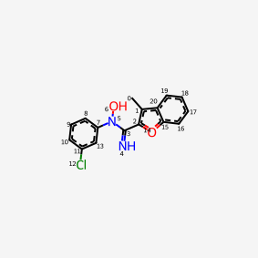 Cc1c(C(=N)N(O)c2cccc(Cl)c2)oc2ccccc12